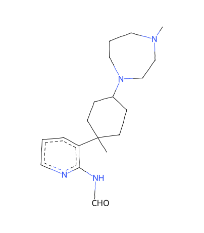 CN1CCCN(C2CCC(C)(c3cccnc3NC=O)CC2)CC1